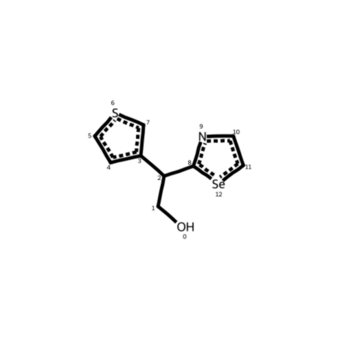 OCC(c1ccsc1)c1ncc[se]1